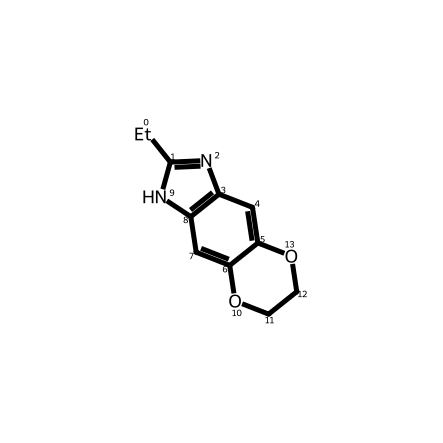 CCc1nc2cc3c(cc2[nH]1)OCCO3